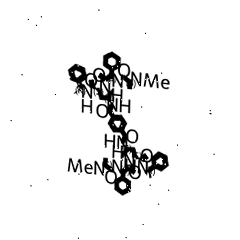 CN[C@@H](C)C(=O)N[C@H](C(=O)N1C[C@@H](NC(=O)c2ccc(C(=O)N[C@H]3C[C@@H](C(=O)N[C@H](C)c4ccccc4)N(C(=O)[C@@H](NC(=O)[C@H](C)NC)C4CCCCC4)C3)cc2)C[C@H]1C(=O)N[C@H](C)c1ccccc1)C1CCCCC1